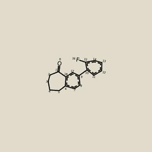 O=C1CCCCc2ccc(-c3ccccc3F)cc21